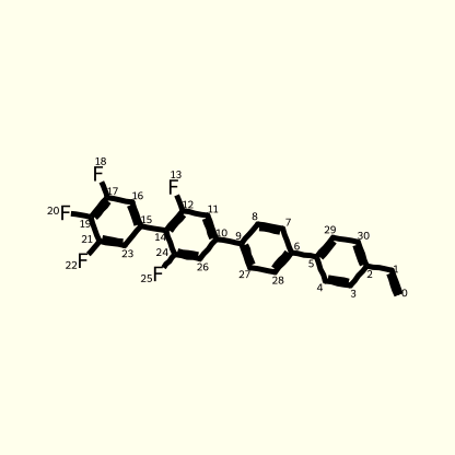 C=Cc1ccc(-c2ccc(-c3cc(F)c(-c4cc(F)c(F)c(F)c4)c(F)c3)cc2)cc1